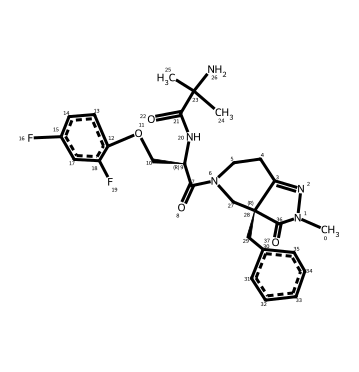 CN1N=C2CCN(C(=O)[C@@H](COc3ccc(F)cc3F)NC(=O)C(C)(C)N)C[C@@]2(Cc2ccccc2)C1=O